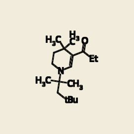 CCC(=O)C1=CN(C(C)(C)CC(C)(C)C)CCC1(C)C